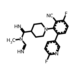 CN(C=N)C(=N)C1CCN(c2c(-c3ccc(F)nc3)ccc(F)c2C#N)CC1